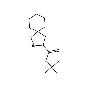 CC(C)(C)OC(=O)C1CC2(CCCCC2)CN1